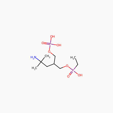 CCP(=O)(O)OCC(COP(=O)(O)O)CC(C)(C)N